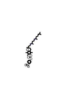 CC(C)=CCC/C(C)=C/CC/C(C)=C/CCC1(C)CCc2c(C)c(OC(=O)Oc3ccc([N+](=O)[O-])cc3)c(C)c(C)c2O1